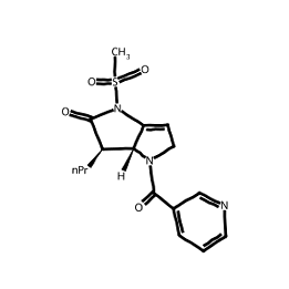 CCC[C@H]1C(=O)N(S(C)(=O)=O)C2=CCN(C(=O)c3cccnc3)[C@@H]21